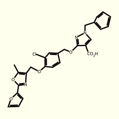 Cc1oc(-c2ccco2)nc1COc1ccc(COc2nn(Cc3ccccc3)cc2C(=O)O)cc1Cl